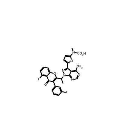 CC(c1oc2cccc(F)c2c(=O)c1-c1cccc(F)c1)n1nc(-c2ccc(N(C)C(=O)O)o2)c2c(N)ncnc21